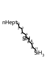 CCCCCCCCCCCCCCCCCC[SiH3].[SiH4]